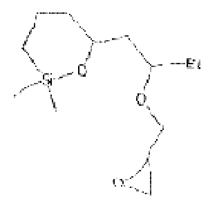 CCC(CC1CCC[Si](C)(C)O1)OCC1CO1